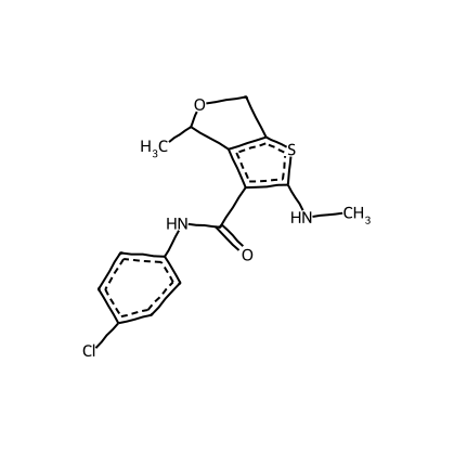 CNc1sc2c(c1C(=O)Nc1ccc(Cl)cc1)C(C)OC2